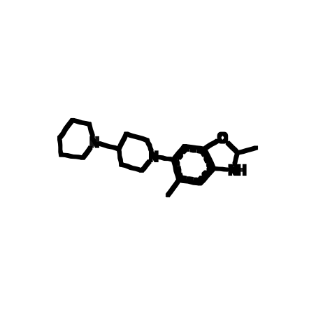 Cc1cc2c(cc1N1CCC(N3CCCCC3)CC1)OC(C)N2